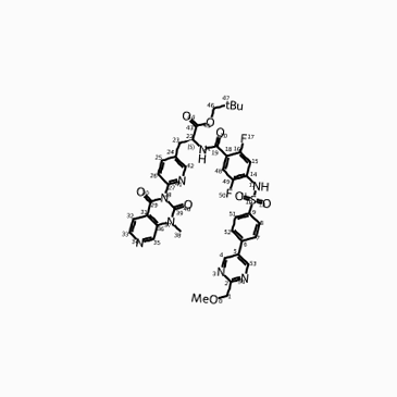 COCc1ncc(-c2ccc(S(=O)(=O)Nc3cc(F)c(C(=O)N[C@@H](Cc4ccc(-n5c(=O)c6ccncc6n(C)c5=O)nc4)C(=O)OCC(C)(C)C)cc3F)cc2)cn1